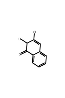 O=C1c2ccccc2C=C(Cl)C1Cl